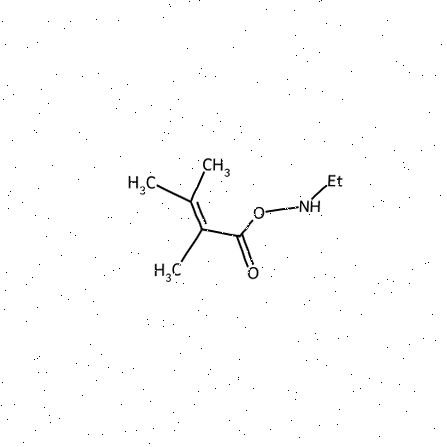 CCNOC(=O)C(C)=C(C)C